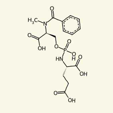 CN(C(=O)c1ccccc1)[C@@H](COP(=O)(O)N[C@@H](CCC(=O)O)C(=O)O)C(=O)O